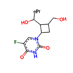 CCCC(O)C1C(CO)CC1n1cc(F)c(=O)[nH]c1=O